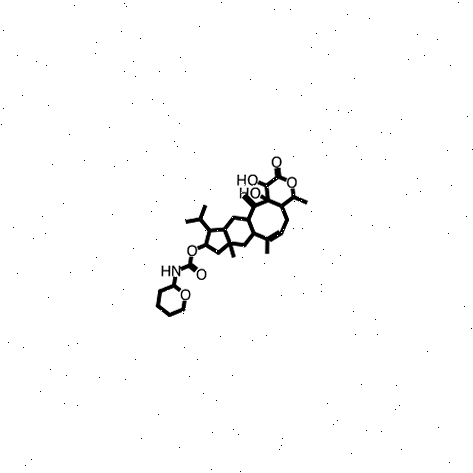 C=C1C2CC3C(C(C)C)C(OC(=O)NC4CCCCO4)CC3(C)CC2C(C)=CCC2C(C)OC(=O)C(O)C12O